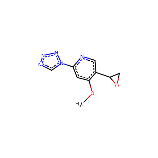 COc1cc(-n2cnnn2)ncc1C1CO1